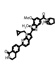 COc1cc(C(=O)N2CC3CCC2C3N)cc2nc(-c3cc4ccc(-c5ccc6c(c5)CCNC6=O)nc4n3CC3CC3)n(C)c12